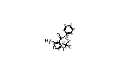 Cc1occc1C(=O)N(SC(F)(Cl)Cl)c1ccccc1